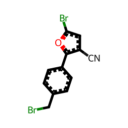 N#Cc1cc(Br)oc1-c1ccc(CBr)cc1